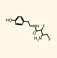 NC(CF)C(F)C(=O)NCCc1ccc(O)cc1